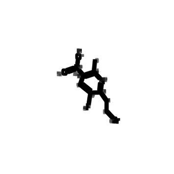 Cc1nc(CCBr)c(F)cc1[N+](=O)[O-]